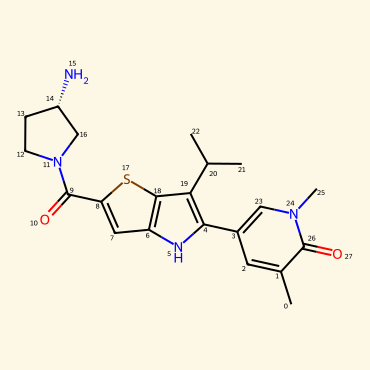 Cc1cc(-c2[nH]c3cc(C(=O)N4CC[C@H](N)C4)sc3c2C(C)C)cn(C)c1=O